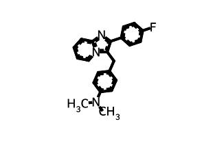 CN(C)c1ccc(Cc2c(-c3ccc(F)cc3)nc3ccccn23)cc1